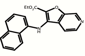 CCOC(=O)c1oc2cnccc2c1Nc1cccc2ccccc12